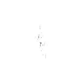 O=C(COc1ccc(Cl)cc1)N[C@@H]1CC[C@@H](C(=O)NCc2cccc(Cl)c2)OC1